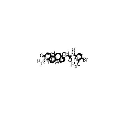 Cc1nc(NC(=O)C[C@H]2CC[C@H]3[C@@H]4CC[C@H]5N(C)C(=O)C=C[C@]5(C)[C@H]4CC[C@]23C)ccc1Br